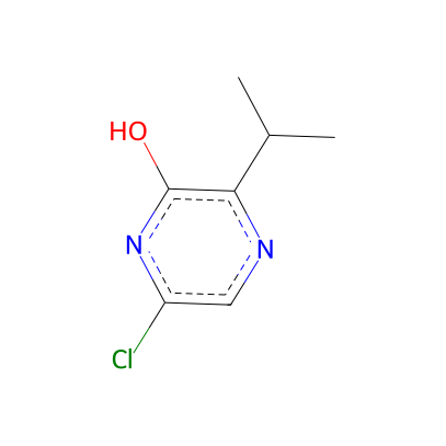 CC(C)c1ncc(Cl)nc1O